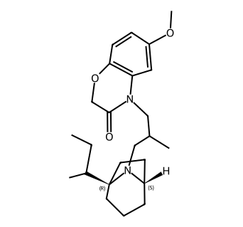 CCC(C)[C@@]12CCC[C@@H](CC1)N2CC(C)CN1C(=O)COc2ccc(OC)cc21